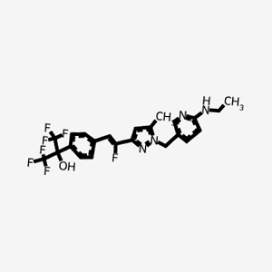 CCNc1ccc(Cn2nc(C(F)=Cc3ccc(C(O)(C(F)(F)F)C(F)(F)F)cc3)cc2C)cn1